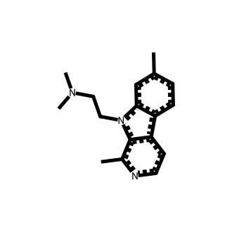 Cc1ccc2c3ccnc(C)c3n(CCN(C)C)c2c1